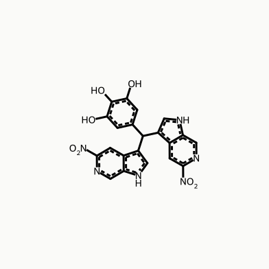 O=[N+]([O-])c1cc2c(C(c3cc(O)c(O)c(O)c3)c3c[nH]c4cnc([N+](=O)[O-])cc34)c[nH]c2cn1